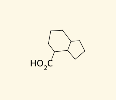 O=C(O)C1CCCC2CCCC21